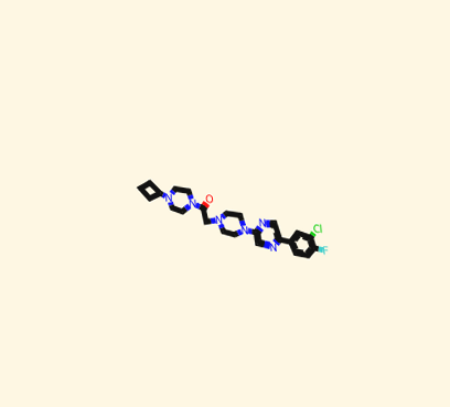 O=C(CN1CCN(c2cnc(-c3ccc(F)c(Cl)c3)cn2)CC1)N1CCN(C2CCC2)CC1